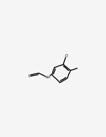 Cc1ccc(NC=S)cc1Cl